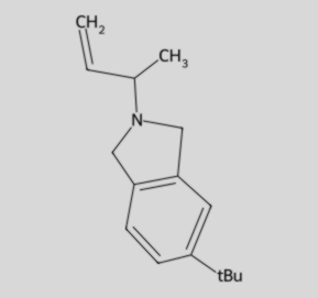 C=CC(C)N1Cc2ccc(C(C)(C)C)cc2C1